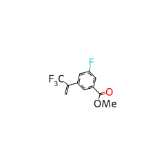 C=C(c1cc(F)cc(C(=O)OC)c1)C(F)(F)F